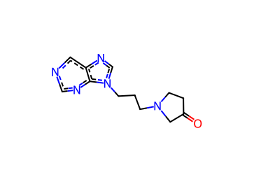 O=C1CCN(CCCn2cnc3cncnc32)C1